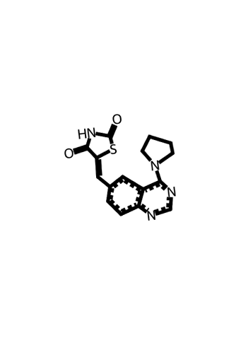 O=C1NC(=O)C(=Cc2ccc3ncnc(N4CCCC4)c3c2)S1